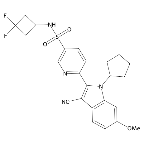 COc1ccc2c(C#N)c(-c3ccc(S(=O)(=O)NC4CC(F)(F)C4)cn3)n(C3CCCC3)c2c1